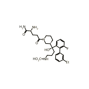 CCc1cccc(-c2c(F)cccc2[C@](O)(CCCNC(=O)O)[C@@H]2CCCN(C(=O)CC[C@H](N)C(N)=O)C2)c1